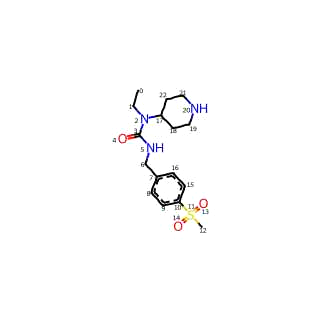 CCN(C(=O)NCc1ccc(S(C)(=O)=O)cc1)C1CCNCC1